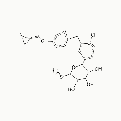 CSC1OC(c2ccc(Cl)c(Cc3ccc(OC=C4CS4)cc3)c2)C(O)C(O)C1O